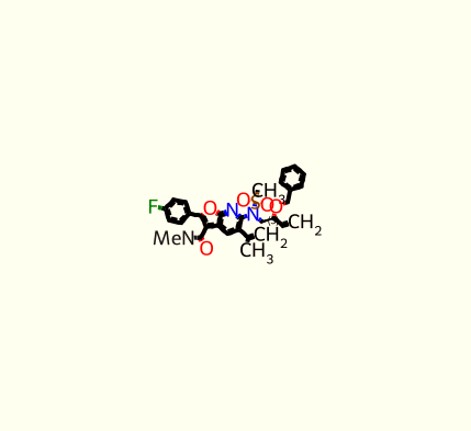 C=C[C@@H](CN(c1nc2oc(-c3ccc(F)cc3)c(C(=O)NC)c2cc1C(=C)C)S(C)(=O)=O)OCc1ccccc1